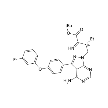 CC[C@H](Cn1nc(-c2ccc(Oc3cccc(F)c3)cc2)c2c(N)ncnc21)C(=N)C(=O)OC(C)(C)C